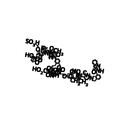 Cc1c(-c2ccc(N3CCc4cccc(C(=O)Nc5nc6ccccc6s5)c4C3)nc2C(=O)O)cnn1CC12CC3(C)CC(OCCN(C)C(=O)OCc4ccc(NC(=O)[C@H](C)NC(=O)[C@@H](NC(=O)CN5C(=O)[C@@H](N6C(=O)C=CC6O)C[C@H]5COCCS(=O)(=O)O)C(C)C)cc4CC[C@@H]4O[C@H](C(=O)O)[C@@H](O)[C@H](O)[C@H]4O)(CC1(C)C3)C2